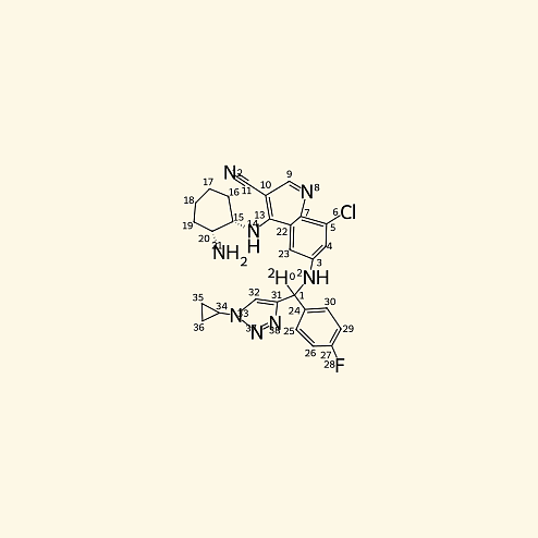 [2H]C(Nc1cc(Cl)c2ncc(C#N)c(N[C@H]3CCCC[C@H]3N)c2c1)(c1ccc(F)cc1)c1cn(C2CC2)nn1